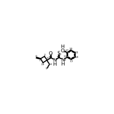 C=C1CC(CC)(C(=O)NC(=S)Nc2ccccc2O)C1